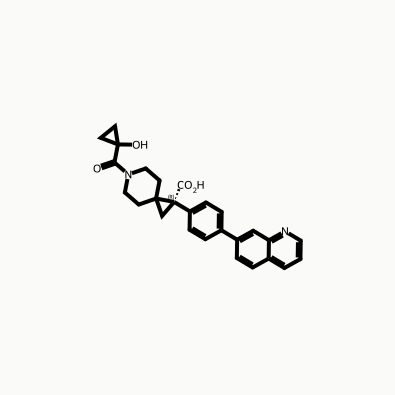 O=C(N1CCC2(CC1)C[C@]2(C(=O)O)c1ccc(-c2ccc3cccnc3c2)cc1)C1(O)CC1